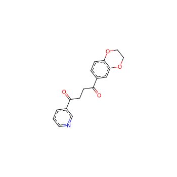 O=C(CCC(=O)c1ccc2c(c1)OCCO2)c1cccnc1